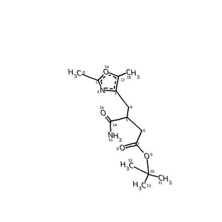 Cc1nc(CC(CC(=O)OC(C)(C)C)C(N)=O)c(C)o1